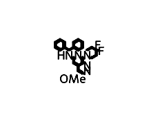 COc1cc2cc(NC(c3ccccc3)c3ccccc3)nc(N3CCC(F)(F)CC3)c2nn1